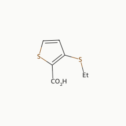 CCSc1ccsc1C(=O)O